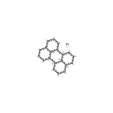 [Pt].c1cc2cccc3c4cccc5cccc(c(c1)c23)c54